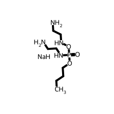 CCCCOP(=O)(NCCN)ONCCN.[NaH]